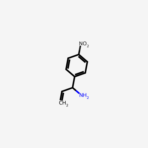 C=CC(N)c1ccc([N+](=O)[O-])cc1